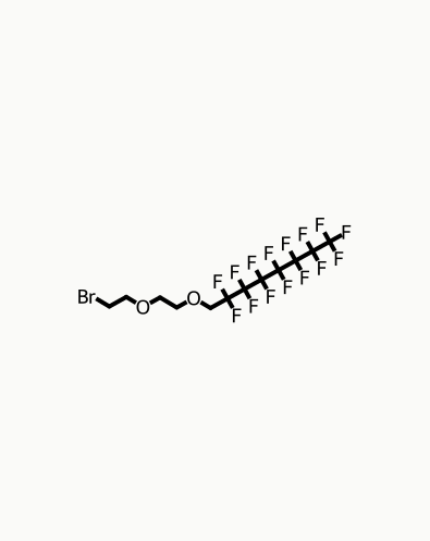 FC(F)(F)C(F)(F)C(F)(F)C(F)(F)C(F)(F)C(F)(F)C(F)(F)COCCOCCBr